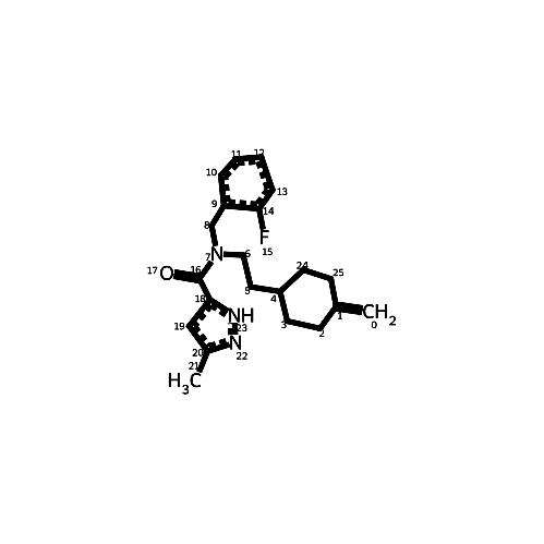 C=C1CCC(CCN(Cc2ccccc2F)C(=O)c2cc(C)n[nH]2)CC1